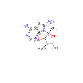 CO[C@H](CO)[C@@H](O)[C@@](C)(O)n1c(N)cc2c(N)ncnc21